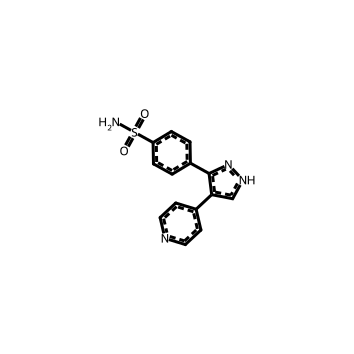 NS(=O)(=O)c1ccc(-c2n[nH]cc2-c2ccncc2)cc1